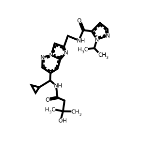 CC(C)n1nccc1C(=O)NCc1cn2ncc(C(NC(=O)CC(C)(C)O)C3CC3)cc2n1